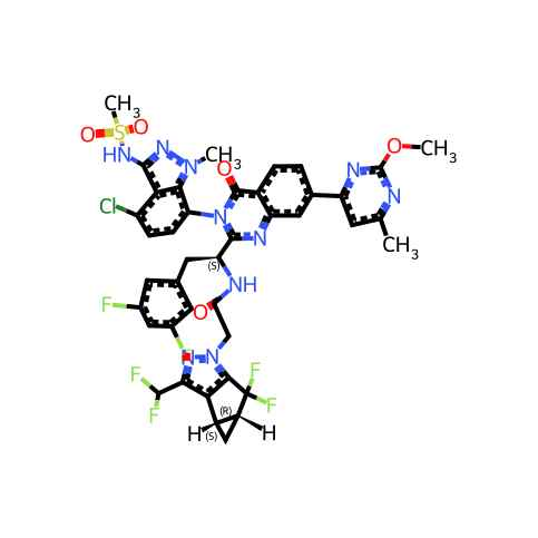 COc1nc(C)cc(-c2ccc3c(=O)n(-c4ccc(Cl)c5c(NS(C)(=O)=O)nn(C)c45)c([C@H](Cc4cc(F)cc(F)c4)NC(=O)Cn4nc(C(F)F)c5c4C(F)(F)[C@@H]4C[C@H]54)nc3c2)n1